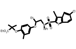 CCCN(CC(CC)Oc1ccc(OC(C)(C)C(=O)OCC)c(C)c1)S(=O)(=O)c1sc2ccc(Cl)cc2c1C